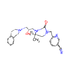 CC1(C)CN(Cc2ccc(C#N)cn2)C(=O)N1CC(O)CN1CCc2ccccc2C1